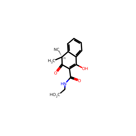 C[C@]1(C#N)C(=O)C(C(=O)NCC(=O)O)=C(O)c2ccccc21